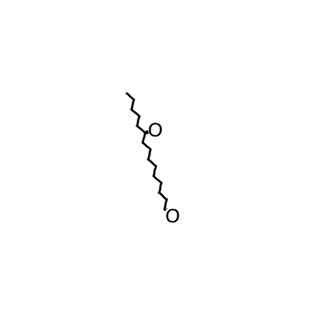 CCCCCC(=O)CCCCCCCCC=O